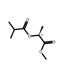 COC(=O)[C@H](C)OC(=O)C(C)C